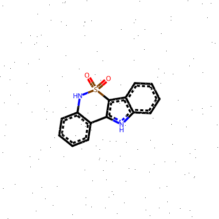 O=S1(=O)Nc2ccccc2-c2[nH]c3ccccc3c21